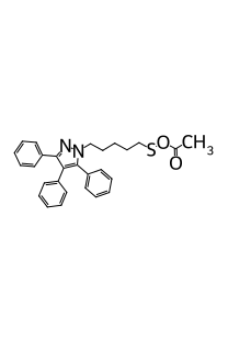 CC(=O)OSCCCCCn1nc(-c2ccccc2)c(-c2ccccc2)c1-c1ccccc1